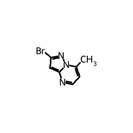 Cc1ccnc2cc(Br)nn12